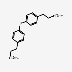 CCCCCCCCCCCCc1ccc([I+]c2ccc(CCCCCCCCCCCC)cc2)cc1